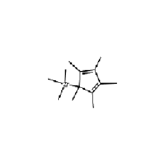 CC1=C(C)[C](C)([Zr]([CH3])([CH3])[CH3])C(C)=C1C